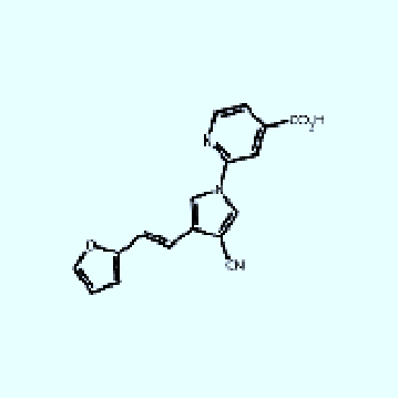 N#Cc1cn(-c2cc(C(=O)O)ccn2)cc1/C=C/c1ccco1